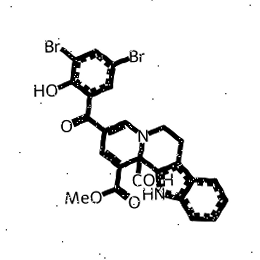 COC(=O)C1=CC(C(=O)c2cc(Br)cc(Br)c2O)=CN2CCc3c([nH]c4ccccc34)C12C(=O)O